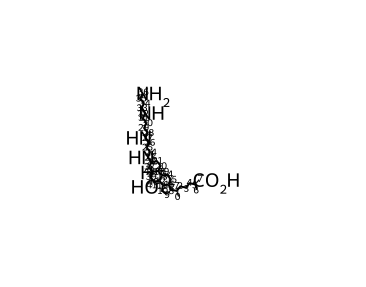 C[C@H](CCC[C@H](C)C(=O)O)[C@H]1CCC2C3C(CC[C@@]21C)[C@@]1(C)CC[C@H](NCCCNCCCCNCCCN)C[C@@H]1C[C@H]3O